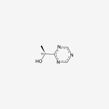 C[C@H](O)c1ncncn1